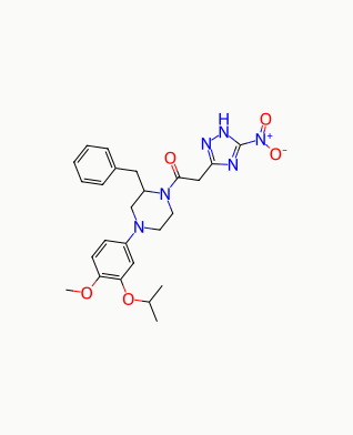 COc1ccc(N2CCN(C(=O)Cc3n[nH]c([N+](=O)[O-])n3)C(Cc3ccccc3)C2)cc1OC(C)C